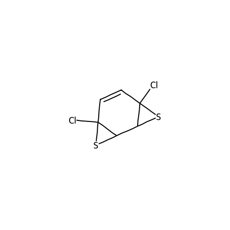 ClC12C=CC3(Cl)SC3C1S2